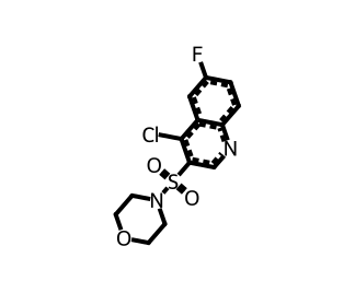 O=S(=O)(c1cnc2ccc(F)cc2c1Cl)N1CCOCC1